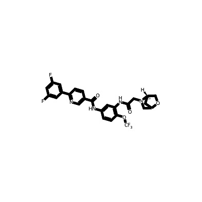 O=C(CN1CC2C[C@H]1CO2)Nc1cc(NC(=O)c2ccc(-c3cc(F)cc(F)c3)nc2)ccc1OC(F)(F)F